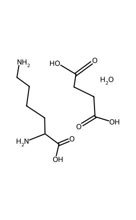 NCCCCC(N)C(=O)O.O.O=C(O)CCC(=O)O